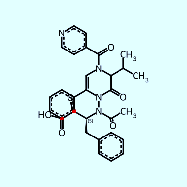 CC(=O)N([C@@H](Cc1ccccc1)C(=O)C(=O)O)N1C(=O)C(C(C)C)N(C(=O)c2ccncc2)C=C1c1ccccc1